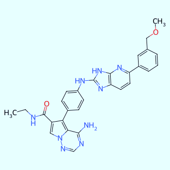 CCNC(=O)c1cn2ncnc(N)c2c1-c1ccc(Nc2nc3ccc(-c4cccc(COC)c4)nc3[nH]2)cc1